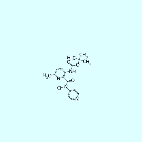 Cc1ccc(NC(=O)OC(C)(C)C)c(C(=O)N(Cl)c2ccncc2)n1